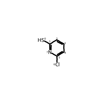 Sc1cccc(Cl)n1